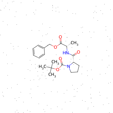 C[C@H](NC(=O)[C@@H]1CCCN1C(=O)OC(C)(C)C)C(=O)OCc1ccccc1